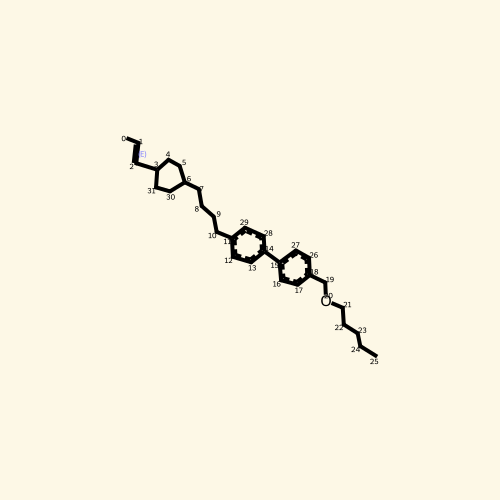 C/C=C/C1CCC(CCCCc2ccc(-c3ccc(COCCCCC)cc3)cc2)CC1